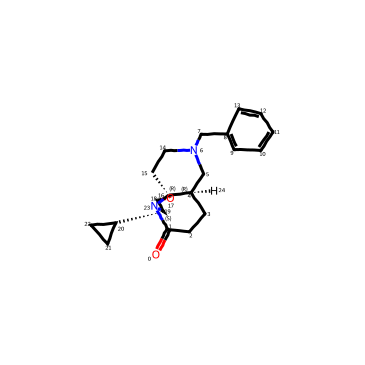 O=C1CC[C@@H]2CN(Cc3ccccc3)CC[C@@]23OC[C@H](C2CC2)N13